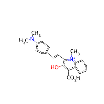 CN(C)c1ccc(/C=C/c2c(O)c(C(=O)O)c3ccccc3[n+]2C)cc1